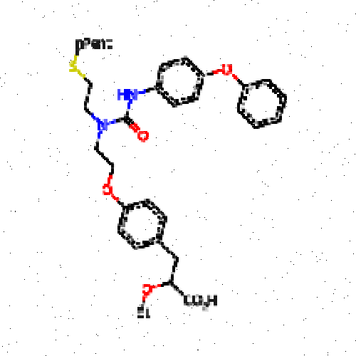 CCCCCSCCN(CCOc1ccc(CC(OCC)C(=O)O)cc1)C(=O)Nc1ccc(Oc2ccccc2)cc1